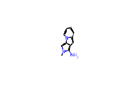 Cn1cc2c(cc3ccccn32)c1N